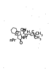 CCC[C@H]1C(=O)N[C@](C(=O)OCC[Si](C)(C)C)([C@@H](O)C2CCCCC2)[C@]12CO2